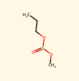 CCCOS(=O)OC